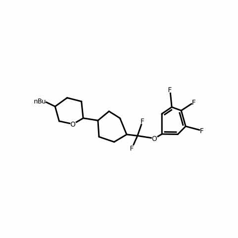 CCCCC1CCC(C2CCC(C(F)(F)Oc3cc(F)c(F)c(F)c3)CC2)OC1